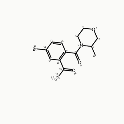 CC1COCCN1C(=O)c1ccc(Br)cc1C(N)=O